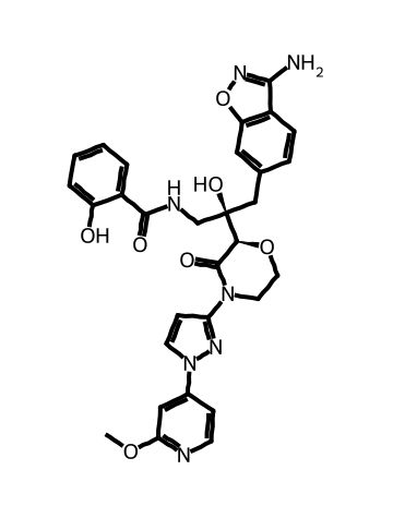 COc1cc(-n2ccc(N3CCO[C@H]([C@](O)(CNC(=O)c4ccccc4O)Cc4ccc5c(N)noc5c4)C3=O)n2)ccn1